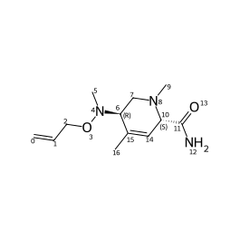 C=CCON(C)[C@H]1CN(C)[C@H](C(N)=O)C=C1C